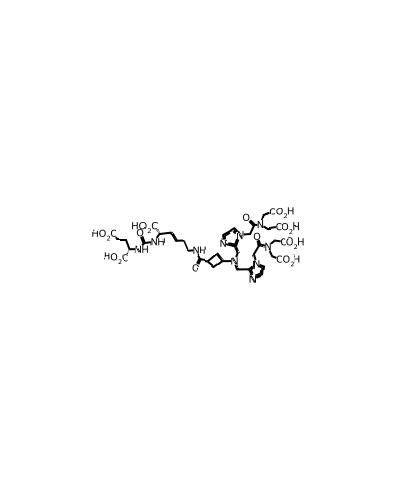 O=C(O)CC[C@H](NC(=O)N[C@@H](CCCCNC(=O)C1CC(N(Cc2nccn2CC(=O)N(CC(=O)O)CC(=O)O)Cc2nccn2CC(=O)N(CC(=O)O)CC(=O)O)C1)C(=O)O)C(=O)O